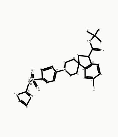 CC(C)(C)OC(=O)C1CC2(CCN(c3ccc(S(=O)(=O)Nc4nccs4)cc3)CC2)c2cc(Cl)ccc21